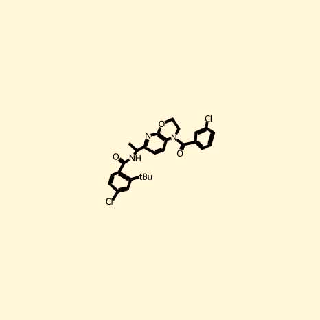 CC(NC(=O)c1ccc(Cl)cc1C(C)(C)C)c1ccc2c(n1)OCCN2C(=O)c1cccc(Cl)c1